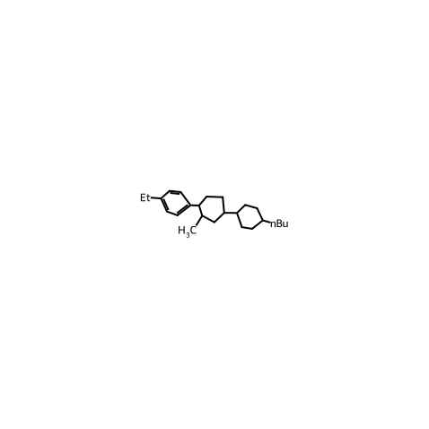 CCCCC1CCC(C2CCC(c3ccc(CC)cc3)C(C)C2)CC1